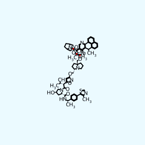 Cc1ncsc1-c1ccc([C@H](C)NC(=O)[C@@H]2C[C@@H](O)CN2C(=O)[C@@H](c2cc(OC[C@@H]3CC[C@]4(COc5nc(N6CC7CCC(C6)N7C(=O)OC(C)(C)C)c6cnc7c(c6n5)C(C)c5cccc6cccc-7c56)CCCN34)no2)C(C)C)cc1